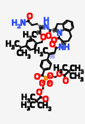 C/C(=C\C(=O)N[C@H]1CCc2cccc3c2N(C1=O)[C@H](C(=O)N[C@@H](CCC(N)=O)[C@@H](C)OCc1ccc(C(C)C)cc1)C3)c1ccc(C(=O)P(=O)(OCOC(=O)C(C)(C)C)OCOC(=O)C(C)(C)C)cc1